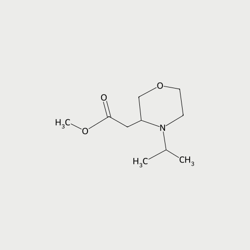 COC(=O)CC1COCCN1C(C)C